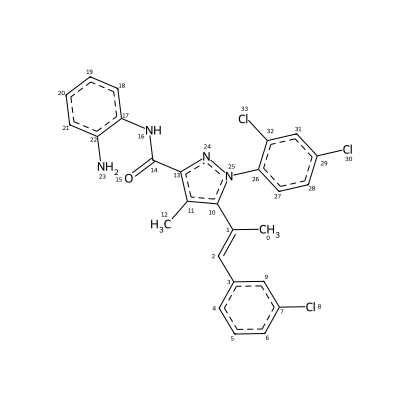 CC(=Cc1cccc(Cl)c1)c1c(C)c(C(=O)Nc2ccccc2N)nn1-c1ccc(Cl)cc1Cl